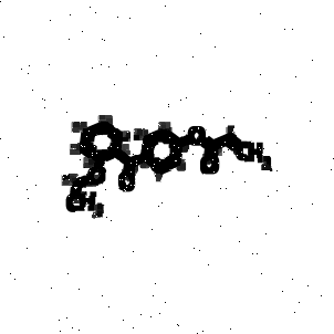 C=CC(=O)Oc1ccc(C(=O)c2ccccc2OCC)cc1